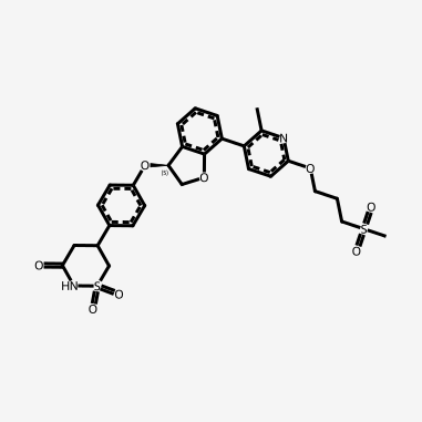 Cc1nc(OCCCS(C)(=O)=O)ccc1-c1cccc2c1OC[C@H]2Oc1ccc(C2CC(=O)NS(=O)(=O)C2)cc1